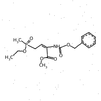 CCOP(C)(=O)CC=C(NC(=O)OCc1ccccc1)C(=O)OC